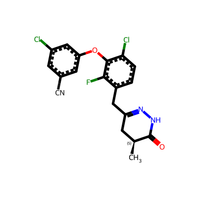 C[C@H]1CC(Cc2ccc(Cl)c(Oc3cc(Cl)cc(C#N)c3)c2F)=NNC1=O